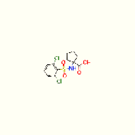 O=C(O)C1(NS(=O)(=O)c2c(Cl)cccc2Cl)CCCC1